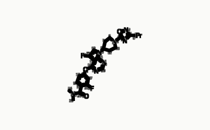 CC(C)c1noc(N2CCC(n3cc(F)c4c(Oc5ccc(C(=O)N(C)C)c(F)c5)ncnc43)CC2)n1